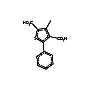 Cc1c(C(=O)O)sc(-c2ccccc2)c1C(=O)O